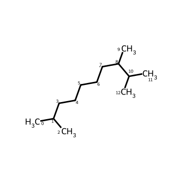 CC(C)CCCC[CH]C(C)C(C)C